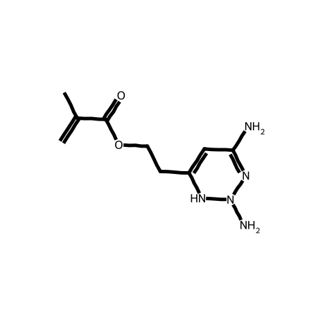 C=C(C)C(=O)OCCC1=CC(N)=NN(N)N1